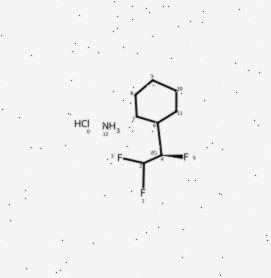 Cl.FC(F)[C@H](F)C1CCCCC1.N